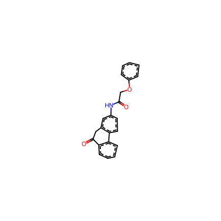 O=C(COc1ccccc1)Nc1ccc2c(c1)CC(=O)c1ccccc1-2